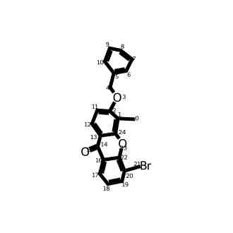 Cc1c(OCc2ccccc2)ccc2c(=O)c3cccc(Br)c3oc12